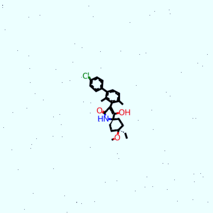 CC[C@]1(OC)CC[C@@]2(CC1)NC(=O)C(c1c(C)ccc(-c3ccc(Cl)cc3)c1C)=C2O